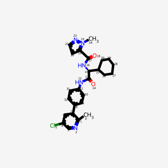 Cc1ncc(Cl)cc1-c1ccc(NC(=O)[C@@H](NC(=O)c2ccnn2C)C2CCCCC2)cc1